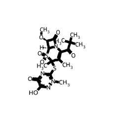 CO[C@H]1C(=O)N2C(C(=O)C(C)(C)C)=C(C)C(C)(Sc3nc(=O)c(O)nn3C)S(=O)(=O)[C@@H]12